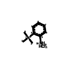 C[N+](C)(C)c1ccccc1N.Cl